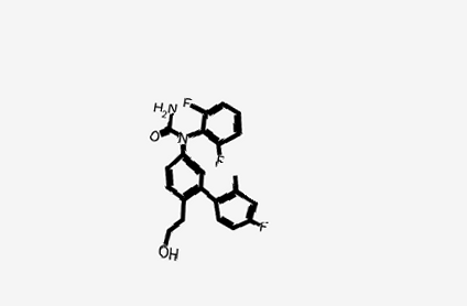 Cc1cc(F)ccc1-c1cc(N(C(N)=O)c2c(F)cccc2F)ccc1CCO